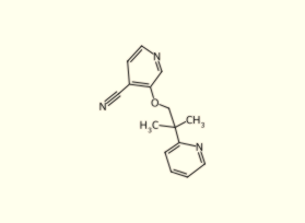 CC(C)(COc1cnccc1C#N)c1ccccn1